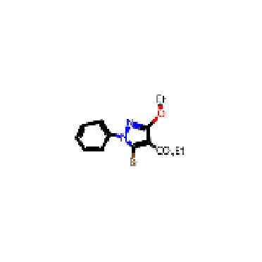 CCOC(=O)c1c(OCC)nn(-c2ccccc2)c1Br